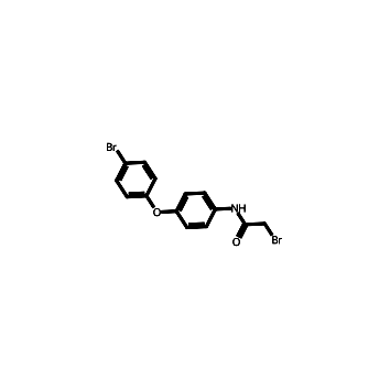 O=C(CBr)Nc1ccc(Oc2ccc(Br)cc2)cc1